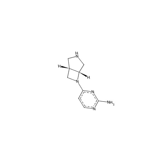 Nc1nccc(N2C[C@@H]3CNC[C@@H]32)n1